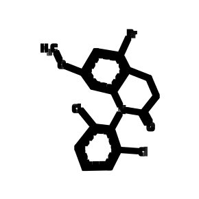 COc1cc(Br)c2c(c1)N(c1c(Cl)cccc1Cl)C(=O)CC2